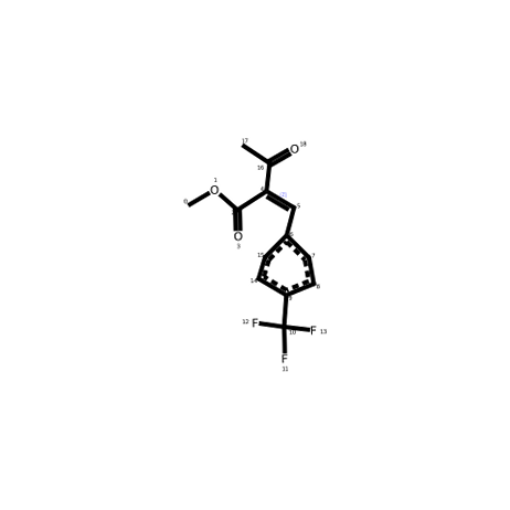 COC(=O)/C(=C\c1ccc(C(F)(F)F)cc1)C(C)=O